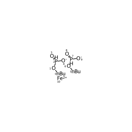 CCCCO[PH](=O)[O-].CCCCO[PH](=O)[O-].[Fe+2]